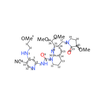 COCCNc1cc(NC(=O)N2CCCc3cc(CN4CC[C@@H](OC)C4=O)c(C(OC)OC)nc32)ncc1C#N